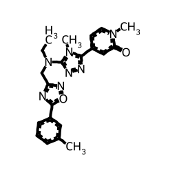 CCN(Cc1noc(-c2cccc(C)c2)n1)c1nnc(-c2ccn(C)c(=O)c2)n1C